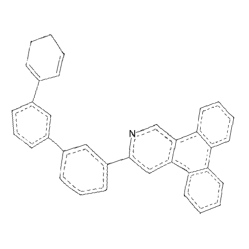 C1=CC(c2cccc(-c3cccc(-c4cc5c6ccccc6c6ccccc6c5cn4)c3)c2)=CCC1